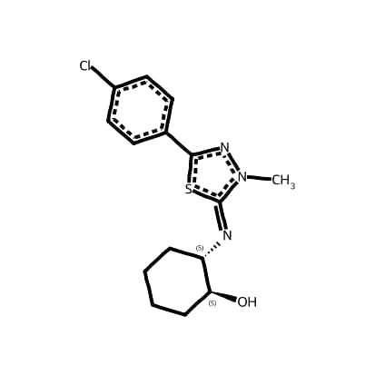 Cn1nc(-c2ccc(Cl)cc2)sc1=N[C@H]1CCCC[C@@H]1O